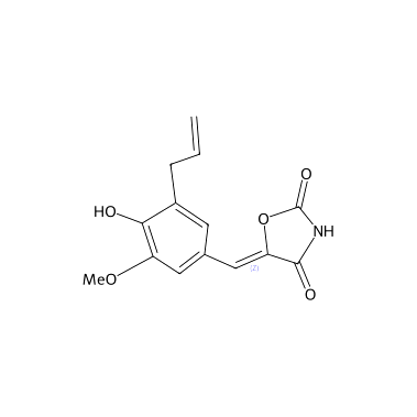 C=CCc1cc(/C=C2\OC(=O)NC2=O)cc(OC)c1O